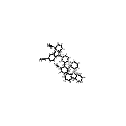 N#Cc1ccc2c(c1)c1c(C#N)cccc1n2-c1cccc(-c2c(C#N)cccc2-c2ccccc2-n2c3ccccc3c3ccccc32)c1